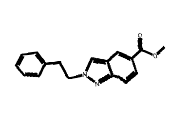 COC(=O)c1ccc2nn(CCc3ccccc3)cc2c1